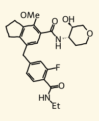 CCNC(=O)c1ccc(Cc2cc(C(=O)N[C@H]3CCOC[C@@H]3O)c(OC)c3c2CCC3)cc1F